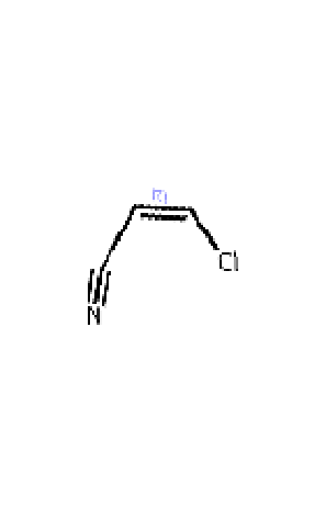 N#C/C=C\Cl